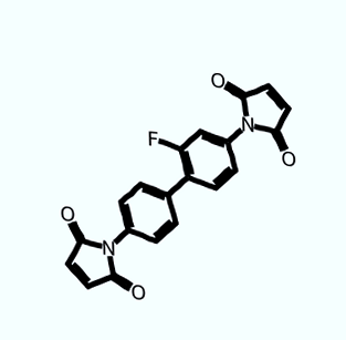 O=C1C=CC(=O)N1c1ccc(-c2ccc(N3C(=O)C=CC3=O)cc2F)cc1